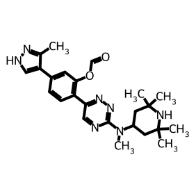 Cc1n[nH]cc1-c1ccc(-c2cnc(N(C)C3CC(C)(C)NC(C)(C)C3)nn2)c(OC=O)c1